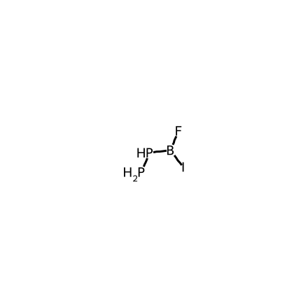 FB(I)PP